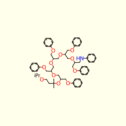 CC(C)OCCC(C)(C)OC(COc1ccccc1)COC(COc1ccccc1)COC(COc1ccccc1)COC(COc1ccccc1)COC(CNc1ccccc1)COc1ccccc1